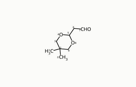 CC1(C)COC(CC=O)OC1